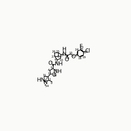 CC1C(C2CC(C(=O)NC3CC(NC(=O)COc4ccc(Cl)c(F)c4)C4CC3C4)NO2)CNN1C